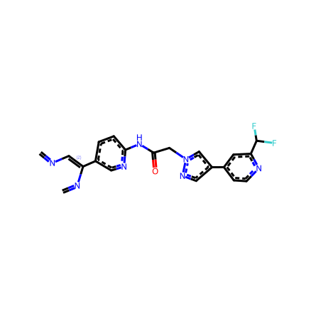 C=N/C=C(\N=C)c1ccc(NC(=O)Cn2cc(-c3ccnc(C(F)F)c3)cn2)nc1